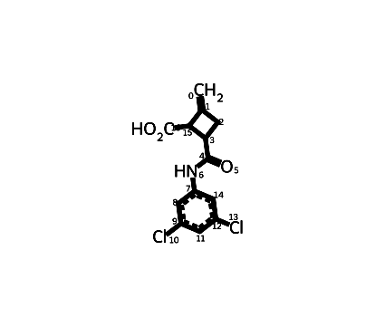 C=C1CC(C(=O)Nc2cc(Cl)cc(Cl)c2)C1C(=O)O